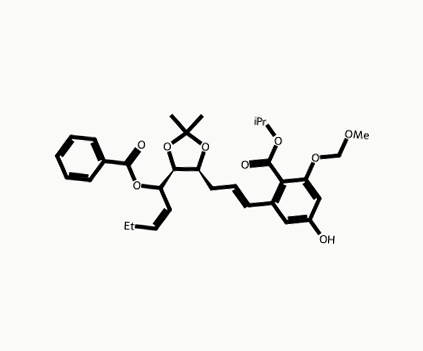 CC/C=C\C(OC(=O)c1ccccc1)[C@H]1OC(C)(C)O[C@H]1C/C=C/c1cc(O)cc(OCOC)c1C(=O)OC(C)C